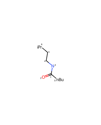 CCCCC(=O)[N]CCC(C)C